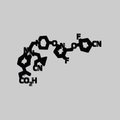 C/C(=C\C(=O)O)c1ccc2nc(CN3CCC(Oc4ccc(F)c(COc5ccc(C#N)cc5F)n4)CC3)n(CC3(CC#N)CC3)c2c1